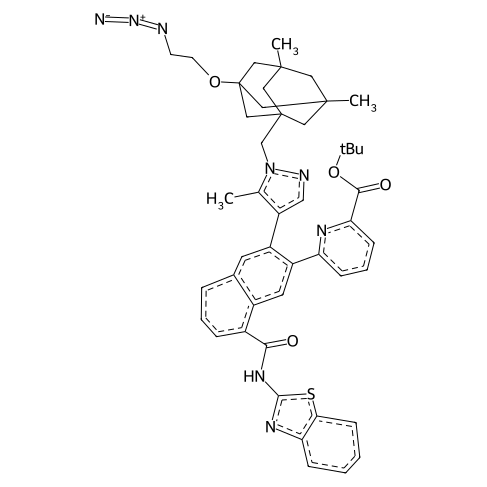 Cc1c(-c2cc3cccc(C(=O)Nc4nc5ccccc5s4)c3cc2-c2cccc(C(=O)OC(C)(C)C)n2)cnn1CC12CC3(C)CC(C)(C1)CC(OCCN=[N+]=[N-])(C3)C2